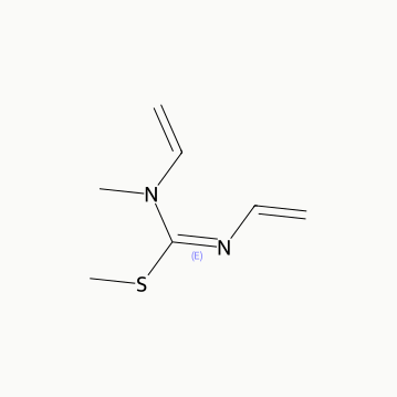 C=C/N=C(/SC)N(C)C=C